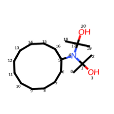 CC(C)(O)N(C1CCCCCCCCCCC1)C(C)(C)O